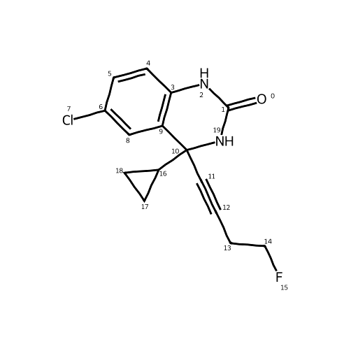 O=C1Nc2ccc(Cl)cc2C(C#CCCF)(C2CC2)N1